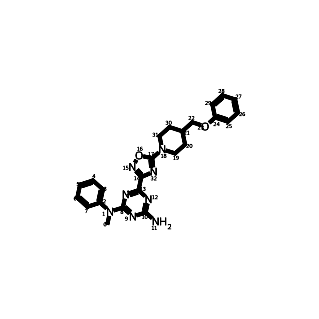 CN(c1ccccc1)c1nc(N)nc(-c2noc(N3CCC(COc4ccccc4)CC3)n2)n1